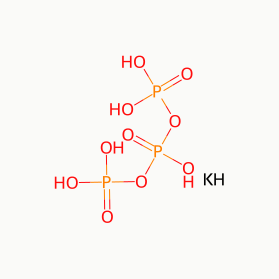 O=P(O)(O)OP(=O)(O)OP(=O)(O)O.[KH]